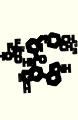 CC1(C)CCN(Cc2cccc(C(=O)Nc3cc(-c4cccc5[nH]ccc45)cc4[nH]ncc34)n2)CC1.O=C(O)C(F)(F)F